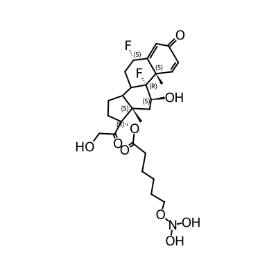 C[C@]12C=CC(=O)C=C1[C@@H](F)CC1C3CC[C@](OC(=O)CCCCCON(O)O)(C(=O)CO)[C@@]3(C)C[C@H](O)[C@@]12F